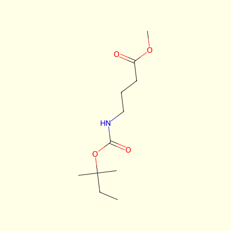 CCC(C)(C)OC(=O)NCCCC(=O)OC